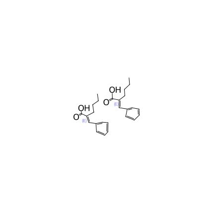 CCCC/C(=C\c1ccccc1)C(=O)O.CCCC/C(=C\c1ccccc1)C(=O)O